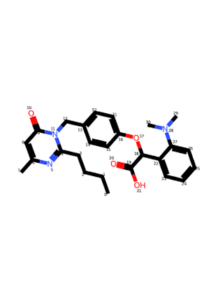 CCCCc1nc(C)cc(=O)n1Cc1ccc(OC(C(=O)O)c2ccccc2N(C)C)cc1